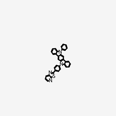 c1ccc(-n2c3ccccc3c3cc4c(cc32)c2ccccc2n4-c2ccc(-c3nc4cccnc4s3)cc2)cc1